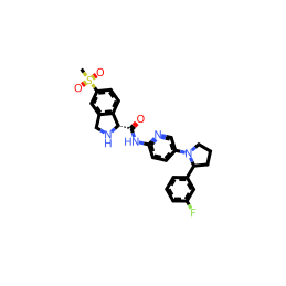 CS(=O)(=O)c1ccc2c(c1)CN[C@H]2C(=O)Nc1ccc(N2CCCC2c2cccc(F)c2)cn1